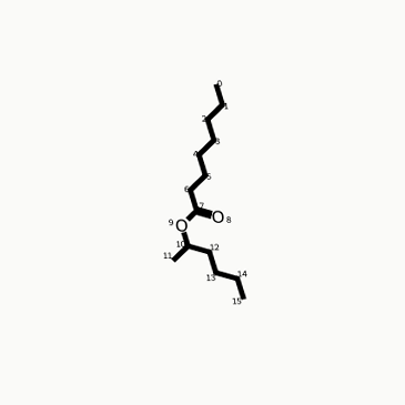 CCCCCCCC(=O)OC(C)CCCC